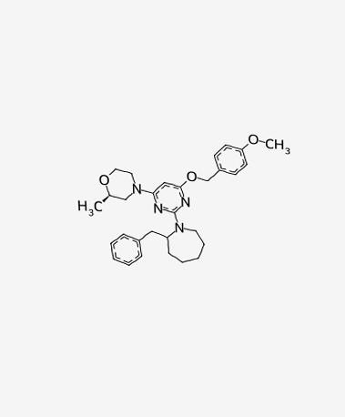 COc1ccc(COc2cc(N3CCO[C@H](C)C3)nc(N3CCCCCC3Cc3ccccc3)n2)cc1